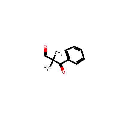 CC(C)([C]=O)C(=O)c1ccccc1